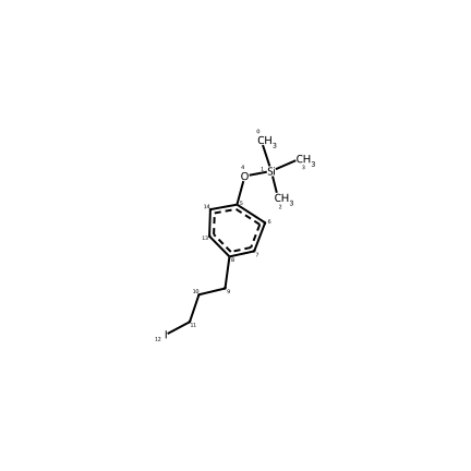 C[Si](C)(C)Oc1ccc(CCCI)cc1